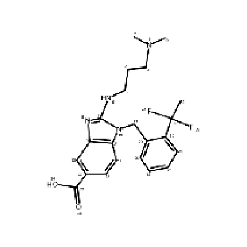 CN(C)CCCNc1nc2cc(C(=O)O)ccc2n1Cc1ccccc1C(C)(F)F